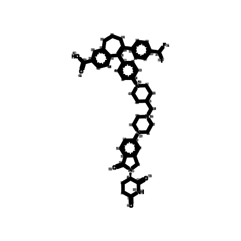 O=C1CC[C@H](N2Cc3cc(N4CCN(CC5CCN(c6ccc(C7=C(c8ccc(C(F)F)cc8)CCCc8cc(C(=O)O)ccc87)cc6)CC5)CC4)ccc3C2=O)C(=O)N1